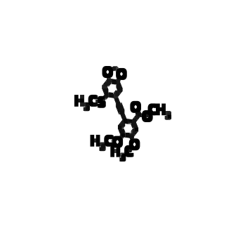 COC(=O)c1cc(OC)c(OC)cc1C#Cc1cc2c(cc1SC)OCO2